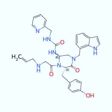 C=CCNCC(=O)N1[C@@H](NC(=O)NCc2ccccn2)CN(Cc2cccc3cc[nH]c23)C(=O)[C@@H]1Cc1ccc(O)cc1